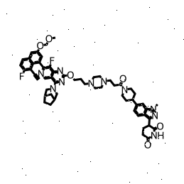 C#Cc1c(F)ccc2cc(OCOC)cc(-c3ncc4c(N5CC6CCC(C6)C5)nc(OCCCN5CCN(CCC(=O)N6CCC(c7ccc8c(C9CCC(=O)NC9=O)nn(C)c8c7)CC6)CC5)nc4c3F)c12